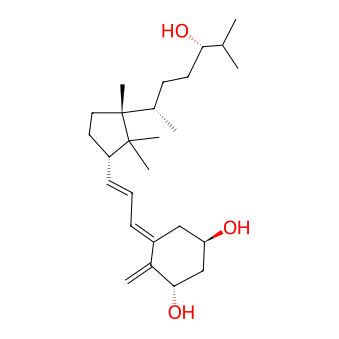 C=C1/C(=C/C=C/[C@@H]2CC[C@](C)([C@@H](C)CC[C@H](O)C(C)C)C2(C)C)C[C@@H](O)C[C@@H]1O